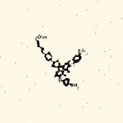 CCCCCCCCCCCCCCC[C@H]1CC[C@@H](C2CCC(c3cc(C)c(Oc4ccc(N)cc4)c(C)c3)(c3cc(C)c(Oc4ccc(N)cc4)c(C)c3)CC2)CC1